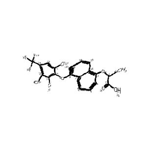 CC(Oc1cccc2c(Oc3c(Cl)cc(C(F)(F)F)c(Cl)c3Cl)cccc12)C(=O)O